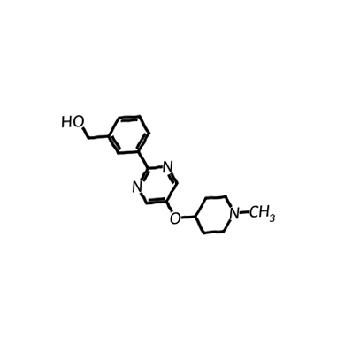 CN1CCC(Oc2cnc(-c3cccc(CO)c3)nc2)CC1